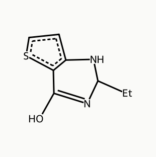 CCC1N=C(O)c2sccc2N1